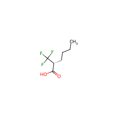 CCCC[C@H](C(=O)O)C(F)(F)F